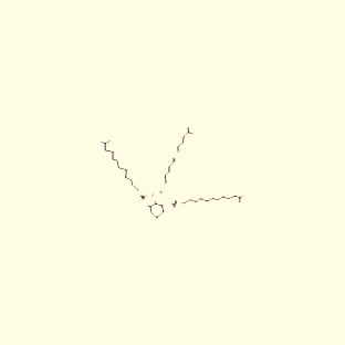 CC(C)CCCCCCCCCCOC(=O)OC1CCCC(OC(=O)OCCCCCCCCCCC(C)C)C1OC(=O)OCCCCCCCCCCC(C)C